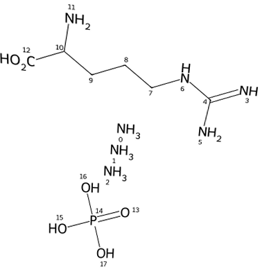 N.N.N.N=C(N)NCCCC(N)C(=O)O.O=P(O)(O)O